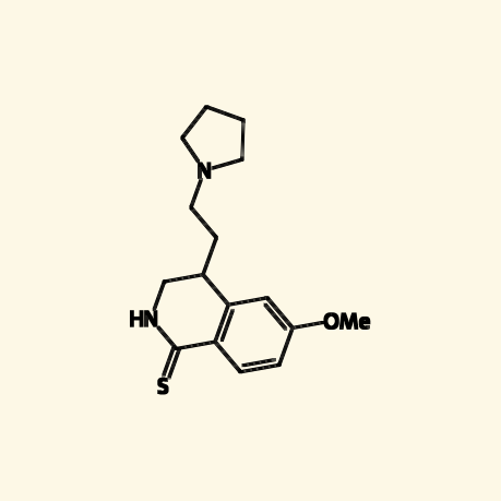 COc1ccc2c(c1)C(CCN1CCCC1)CNC2=S